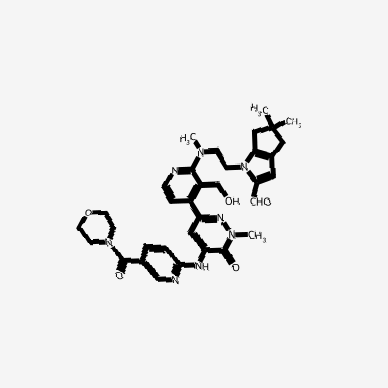 CN(CCn1c(C=O)cc2c1CC(C)(C)C2)c1nccc(-c2cc(Nc3ccc(C(=O)N4CCOCC4)cn3)c(=O)n(C)n2)c1CO